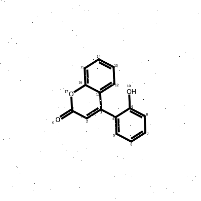 O=c1cc(-c2ccccc2O)c2ccccc2o1